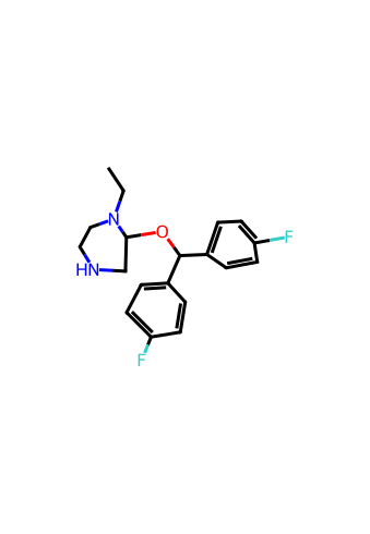 CCN1CCNCC1OC(c1ccc(F)cc1)c1ccc(F)cc1